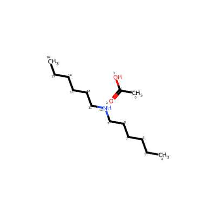 CC(=O)O.CCCCCCNCCCCCC